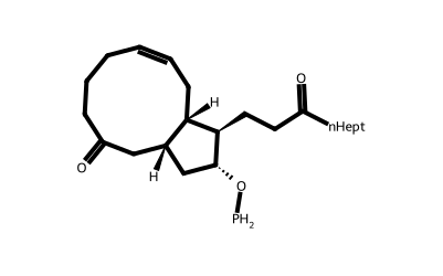 CCCCCCCC(=O)CC[C@@H]1[C@H]2C/C=C\CCCC(=O)C[C@H]2C[C@H]1OP